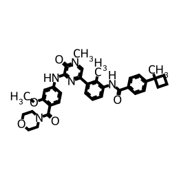 COc1cc(Nc2nc(-c3cccc(NC(=O)c4ccc(C5(C)CCC5)cc4)c3C)cn(C)c2=O)ccc1C(=O)N1CCOCC1